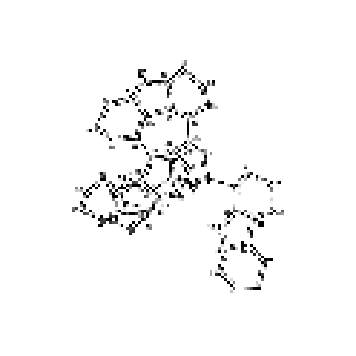 c1ccc(-c2nc(-c3cccc4c3sc3ccccc34)nc(-c3cccc4oc5cccc(-c6cccc7oc8ccccc8c67)c5c34)n2)cc1